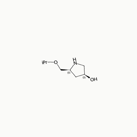 CC(C)OC[C@@H]1C[C@H](O)CN1